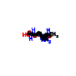 CC(=O)Nc1ccc(-c2nc(SCc3cccc(CCC(=O)NCCNC(=O)O)n3)nc(N)c2C#N)cc1